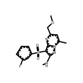 CNc1nn2c(C)cc(COC)nc2c1S(=O)(=O)c1cccc(F)c1